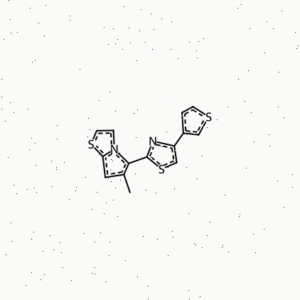 Cc1cc2sccn2c1-c1nc(-c2ccsc2)cs1